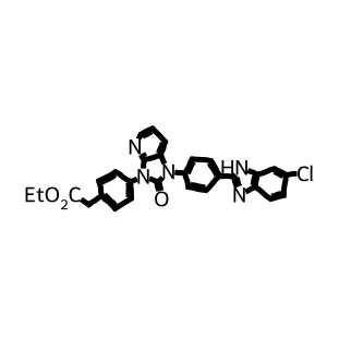 CCOC(=O)Cc1ccc(-n2c(=O)n(-c3ccc(-c4nc5ccc(Cl)cc5[nH]4)cc3)c3cccnc32)cc1